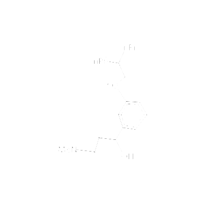 CCCC(CCC)COc1cccc(C(O)CCNC)c1